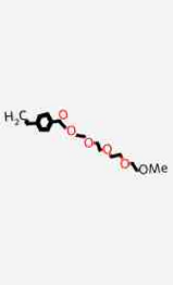 C=Cc1ccc(C(=O)COCCOCCOCCOCCOC)cc1